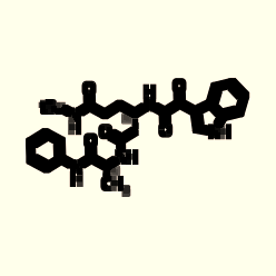 C[C@H](NC(=O)C[C@H](CCC(=O)NC(C)(C)C)NC(=O)C(=O)c1c[nH]c2ccccc12)C(=O)Nc1ccccc1